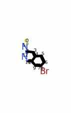 S=Nc1cc2ccc(Br)cc2cn1